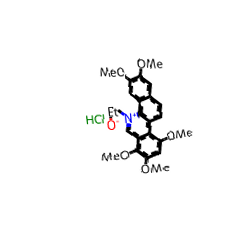 CC[O-].COc1cc2ccc3c4c(OC)cc(OC)c(OC)c4c[n+](C)c3c2cc1OC.Cl